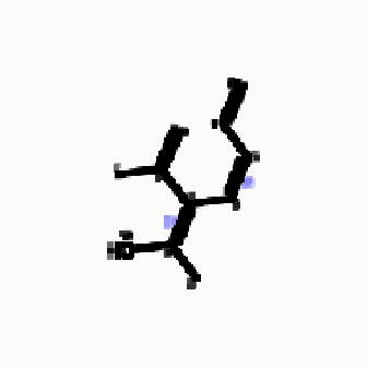 C=C/C=C\C(C(=C)C)=C(/C)O